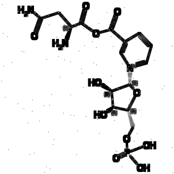 NC(=O)C[C@H](N)C(=O)OC(=O)c1ccc[n+]([C@@H]2O[C@H](COP(=O)(O)O)[C@@H](O)[C@H]2O)c1